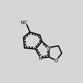 N#Cc1ccc2nc3n(c2c1)CCO3